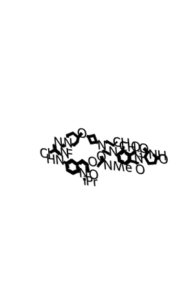 CNC(=O)COc1cc2c(F)c(Nc3nc(N4CCC(OC5CC(N6CCN(c7ccc8c(c7C)C(=O)N([C@@H]7CCC(=O)NC7=O)C8=O)[C@H](C)C6)C5)CC4)ncc3Cl)ccc2n(C(C)C)c1=O